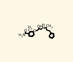 Cc1c(OCC(O)CNC(C)CCc2ccccc2)cccc1C(N)=O